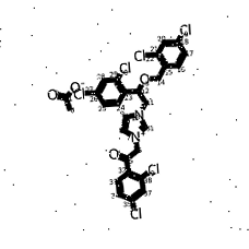 CC(=O)[O-].O=C(C[n+]1ccn(CC(OCc2ccc(Cl)cc2Cl)c2ccc(Cl)cc2Cl)c1)c1ccc(Cl)cc1Cl